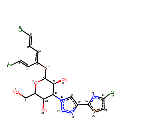 OCC1OC(SC(/C=C/Cl)=C/C=C/Cl)[C@@H](O)C(n2cc(-c3nc(Cl)cs3)nn2)C1O